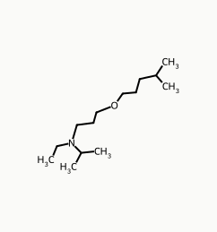 CCN(CCCOCCCC(C)C)C(C)C